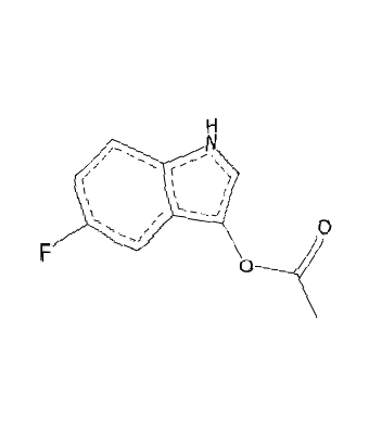 CC(=O)Oc1c[nH]c2ccc(F)cc12